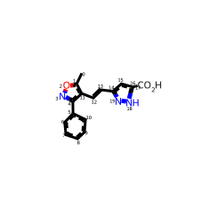 Cc1onc(-c2ccccc2)c1C=Cc1cc(C(=O)O)[nH]n1